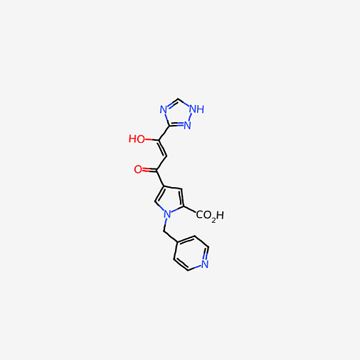 O=C(C=C(O)c1nc[nH]n1)c1cc(C(=O)O)n(Cc2ccncc2)c1